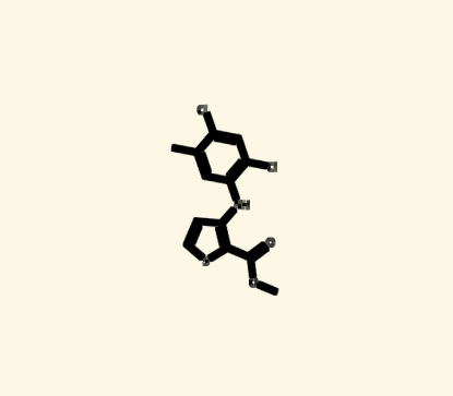 COC(=O)c1sccc1Nc1cc(C)c(Cl)cc1Cl